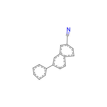 N#Cc1ccc2ccc(-c3ccccc3)cc2c1